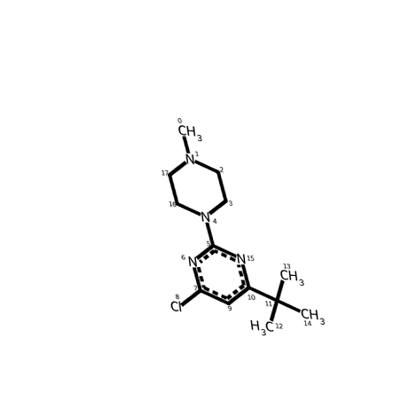 CN1CCN(c2nc(Cl)cc(C(C)(C)C)n2)CC1